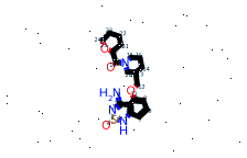 NC1=N[S+]([O-])Nc2cccc(OCC3CCCN(C(=O)C4CCCCO4)C3)c21